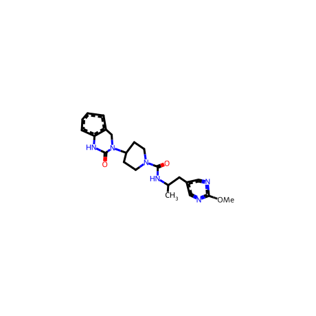 COc1ncc(CC(C)NC(=O)N2CCC(N3Cc4ccccc4NC3=O)CC2)cn1